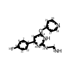 N=C/N=c1/nc(-c2ccc(F)cc2)cc(Oc2ccncc2)[nH]1